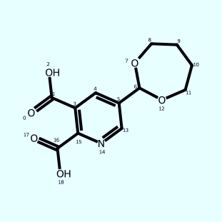 O=C(O)c1cc(C2OCCCCO2)cnc1C(=O)O